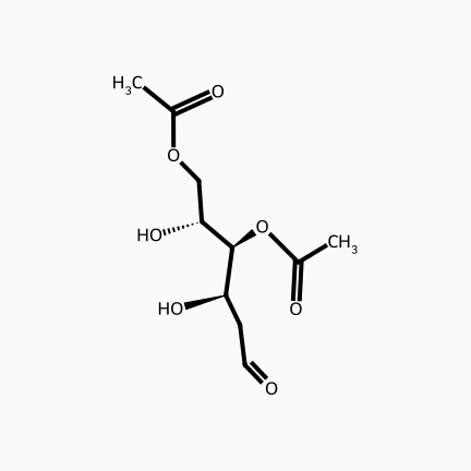 CC(=O)OC[C@@H](O)[C@@H](OC(C)=O)[C@H](O)CC=O